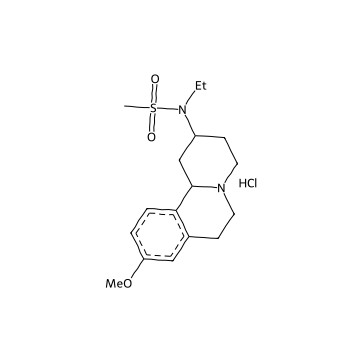 CCN(C1CCN2CCc3cc(OC)ccc3C2C1)S(C)(=O)=O.Cl